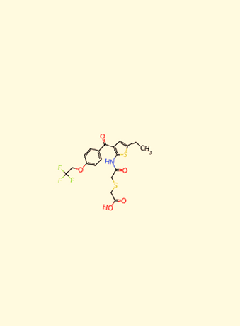 CCc1cc(C(=O)c2ccc(OCC(F)(F)F)cc2)c(NC(=O)CSCC(=O)O)s1